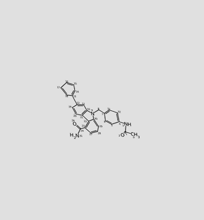 CC(=O)Nc1ccc(Cn2c3cc(-c4ccccc4)c[c]c3c3c(C(N)=O)cccc32)cc1